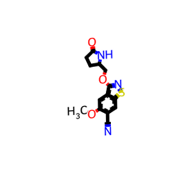 COc1cc2c(OCC3CCC(=O)N3)nsc2cc1C#N